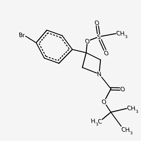 CC(C)(C)OC(=O)N1CC(OS(C)(=O)=O)(c2ccc(Br)cc2)C1